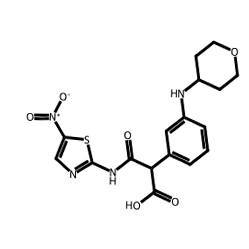 O=C(O)C(C(=O)Nc1ncc([N+](=O)[O-])s1)c1cccc(NC2CCOCC2)c1